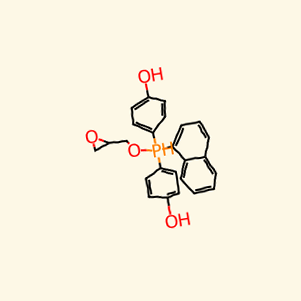 Oc1ccc([PH](OCC2CO2)(c2ccc(O)cc2)c2cccc3ccccc23)cc1